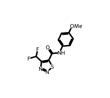 COc1ccc(NC(=O)c2snnc2C(F)F)cc1